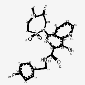 CN1CCS(=O)(=O)N(c2nc(C(=O)NCc3ccc(F)cc3)c(O)c3ncccc23)CC1=O